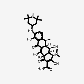 C[C@@H]1c2ccc(NC3CC(C)(C)NC(C)(C)C3)c(O)c2C(=O)C2=C(O)[C@@]3(O)C(=O)C(C(N)=O)=C(O)[C@H](N(C)C)[C@H]3[C@H](O)[C@H]21